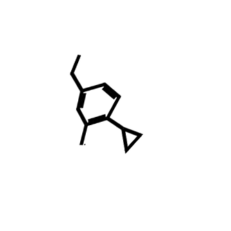 [CH2]c1cc(CC)ccc1C1CC1